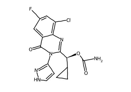 NC(=O)O[C@H](c1nc2c(Cl)cc(F)cc2c(=O)n1-c1cc[nH]n1)C1CC1